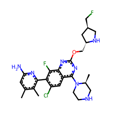 Cc1cc(N)nc(-c2c(Cl)cc3c(N4CCNC[C@@H]4C)nc(OC[C@@H]4C[C@@H](CF)CN4)nc3c2F)c1C